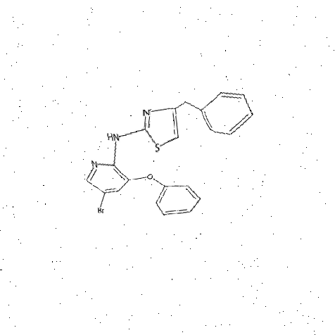 Brc1cnc(Nc2nc(Cc3ccccc3)cs2)c(Oc2ccccc2)c1